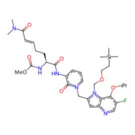 COC(=O)N[C@@H](CC/C=C/C(=O)N(C)C)C(=O)Nc1cccn(Cc2cc3ncc(F)c(OC(C)C)c3n2COCC[Si](C)(C)C)c1=O